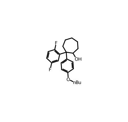 CCCCOc1ccc(C2(c3cc(F)ccc3F)CCCCCC2O)cc1